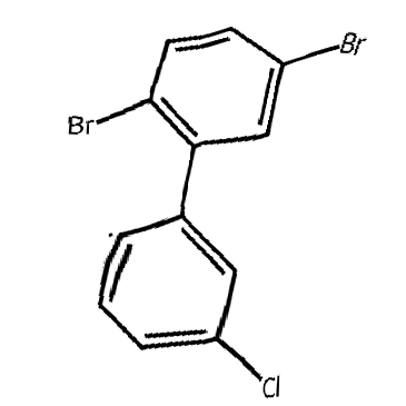 Clc1cc[c]c(-c2cc(Br)ccc2Br)c1